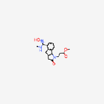 CN/C(=N\O)c1cccc2c1CC1CC(=O)N(CCC(=O)OC)C21